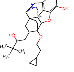 CC(C)(C)C(O)CC1CC23CCC1(OCCC1CC1)C1Oc4c(O)ccc5c4[C@@]12CCNC3C5